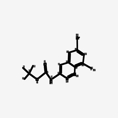 CC(C)(C)OC(=O)Nc1cc2cc(Br)cc(F)c2nn1